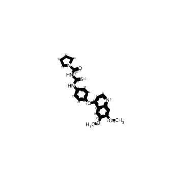 COc1cc2nccc(Oc3ccc(NC(=S)NC(=O)N4CCCC4)cc3)c2cc1OC